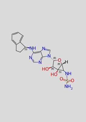 NS(=O)(=O)NC1[C@H]2O[C@@H](n3cnc4c(N[C@H]5CCc6ccccc65)ncnc43)[C@H](O)[C@@]12O